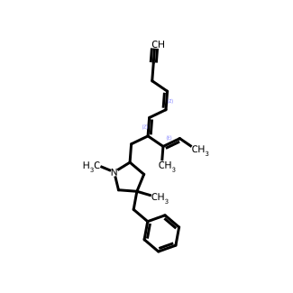 C#CC\C=C/C=C(CC1CC(C)(Cc2ccccc2)CN1C)\C(C)=C\C